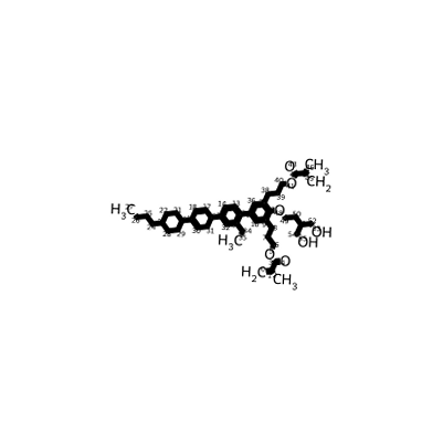 C=C(C)C(=O)OCCCc1cc(-c2ccc(C3C=CC(C4CCC(CCCC)CC4)=CC3)cc2CC)cc(CCCOC(=O)C(=C)C)c1OCCC(CO)CO